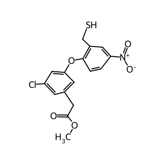 COC(=O)Cc1cc(Cl)cc(Oc2ccc([N+](=O)[O-])cc2CS)c1